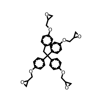 c1cc(OCC2CO2)ccc1CC(c1ccc(OCC2CO2)cc1)(c1ccc(OCC2CO2)cc1)c1ccc(OCC2CO2)cc1